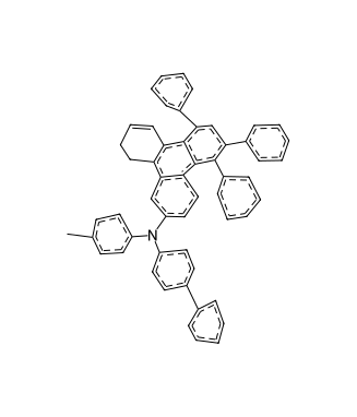 Cc1ccc(N(c2ccc(-c3ccccc3)cc2)c2ccc3c(c2)c2c(c4c(-c5ccccc5)cc(-c5ccccc5)c(-c5ccccc5)c43)C=CCC2)cc1